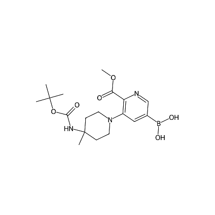 COC(=O)c1ncc(B(O)O)cc1N1CCC(C)(NC(=O)OC(C)(C)C)CC1